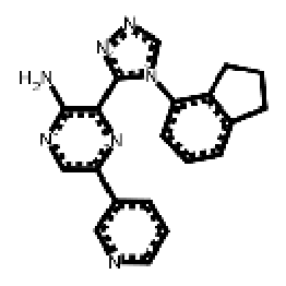 Nc1ncc(-c2cccnc2)nc1-c1nncn1-c1cccc2c1CCC2